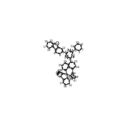 c1ccc(-c2nc(-c3ccc4c(c3)oc3ccccc34)nc(-c3ccc4c5c(cccc35)C3(c5ccccc5-c5ccccc53)c3ccccc3-4)n2)cc1